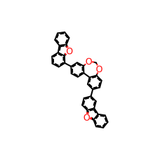 c1ccc2c(c1)oc1ccc(-c3ccc4c(c3)-c3ccc(-c5cccc6c5oc5ccccc56)cc3OCO4)cc12